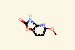 COc1ccc2oc(=O)[nH]c2n1